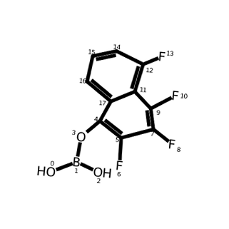 OB(O)Oc1c(F)c(F)c(F)c2c(F)cccc12